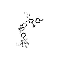 CCOc1cc(-c2ccc(F)cc2)c(C2CC2)cc1CN1CCC2(CC1)CN(c1ccc(C(=O)OC(C)(C)C)cc1)S(=O)(=O)N2